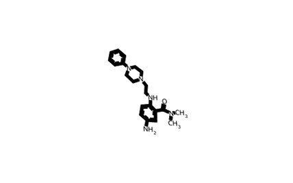 CN(C)C(=O)c1cc(N)ccc1NCCN1CCN(c2ccccc2)CC1